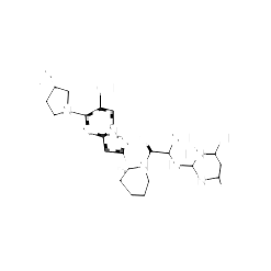 Cc1cn2nc([C@@H]3CCCCN3C(=O)C(N)NC3NC(C)CC(C)N3)cc2nc1N1CC[C@H](N)C1